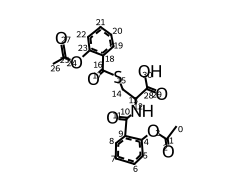 CC(=O)Oc1ccccc1C(=O)NC(CSC(=O)c1ccccc1OC(C)=O)C(=O)O